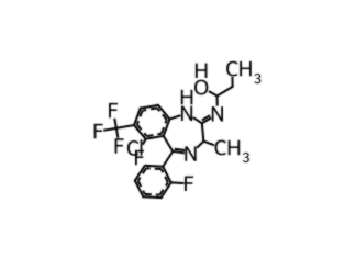 CCC(O)/N=C1\Nc2ccc(C(F)(F)F)c(Cl)c2C(c2c(F)cccc2F)=NC1C